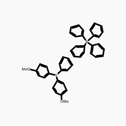 COc1ccc([S+](c2ccccc2)c2ccc(OC)cc2)cc1.c1ccc([B-](c2ccccc2)(c2ccccc2)c2ccccc2)cc1